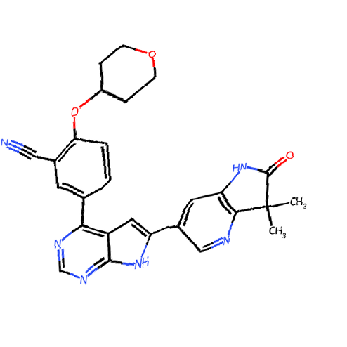 CC1(C)C(=O)Nc2cc(-c3cc4c(-c5ccc(OC6CCOCC6)c(C#N)c5)ncnc4[nH]3)cnc21